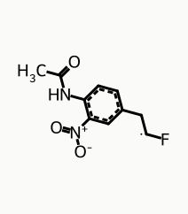 CC(=O)Nc1ccc(C[CH]F)cc1[N+](=O)[O-]